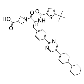 CC(C)(C)c1ccc(C(=O)N[C@@H](Cc2ccc(-c3ncc(C4=CCC(C5CCCCC5)CC4)cn3)cc2)C(=O)N2CC(C(=O)O)C2)s1